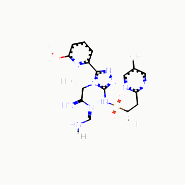 CN/C=N\C(=N)[C@H](C)n1c(NS(=O)(=O)[C@@H](C)Cc2ncc(C)cn2)nnc1-c1cccc(OC)n1